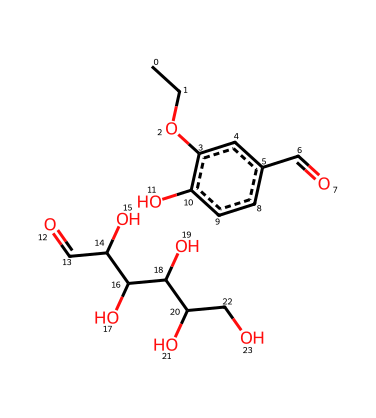 CCOc1cc(C=O)ccc1O.O=CC(O)C(O)C(O)C(O)CO